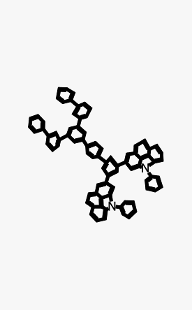 c1ccc(-c2cccc(-c3cc(-c4ccc(-c5cc(-c6cc7ccc8cccc9c8c7c(c6)n9-c6ccccc6)cc(-c6cc7ccc8cccc9c8c7c(c6)n9-c6ccccc6)c5)cc4)cc(-c4cccc(-c5ccccc5)c4)c3)c2)cc1